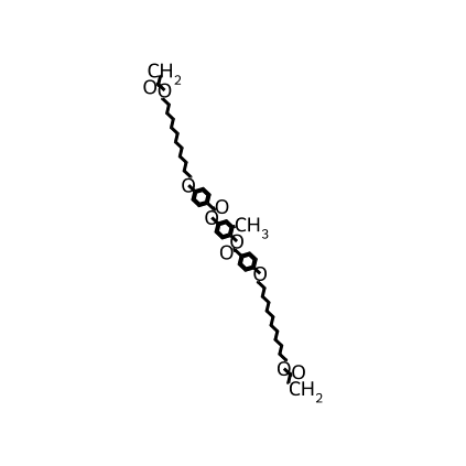 C=CC(=O)OCCCCCCCCCCCCOc1ccc(C(=O)Oc2ccc(OC(=O)c3ccc(OCCCCCCCCCCCCOC(=O)C=C)cc3)c(C)c2)cc1